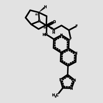 Cc1nnc(-c2cnc3cnc(NC(=O)N4C5CC[C@H]4C[C@@H](NCC(F)F)C5)cc3c2)s1